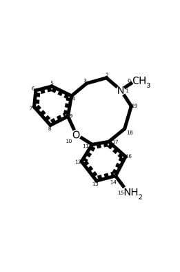 CN1CCc2ccccc2Oc2ccc(N)cc2CC1